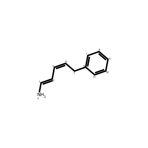 N/C=C/C=C\Cc1ccccc1